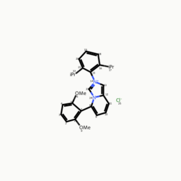 COc1cccc(OC)c1-c1cccc2c[n+](-c3c(C(C)C)cccc3C(C)C)cn12.[Cl-]